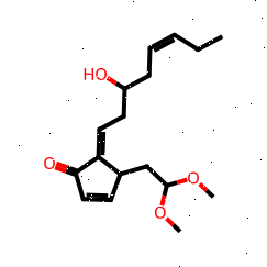 CC/C=C\CC(O)C/C=C1/C(=O)C=CC1CC(OC)OC